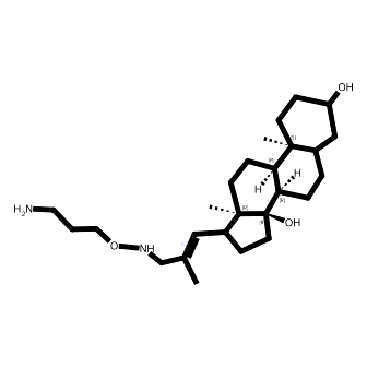 C/C(=C\C1CC[C@@]2(O)[C@@H]3CCC4CC(O)CC[C@]4(C)[C@@H]3CC[C@]12C)CNOCCCN